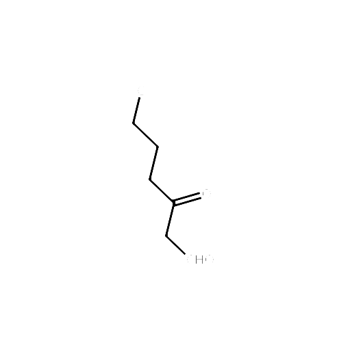 O=[C]CC(=O)CCCCl